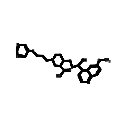 COc1ccc2nccc(C(O)CC[C@@H]3CCN(CCCSc4cncnc4)C[C@@H]3C(=O)O)c2c1